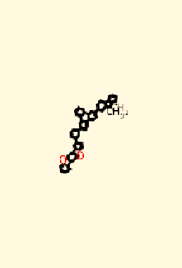 CC1(C)c2ccccc2-c2ccc(-c3ccc4c5ccc(-c6cccc(-c7ccc8oc9cc%10c(cc9c8c7)oc7ccccc7%10)c6)cc5c5ccccc5c4c3)cc21